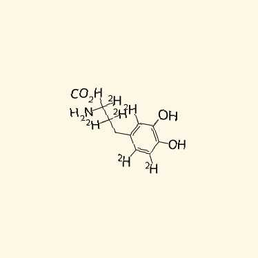 [2H]c1c([2H])c(CC([2H])([2H])C([2H])(N)C(=O)O)c([2H])c(O)c1O